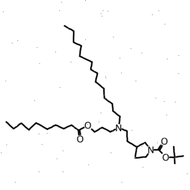 CCCCCCCCCCCCCCN(CCCOC(=O)CCCCCCCCC)CCC1CCN(C(=O)OC(C)(C)C)C1